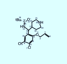 C=CCOc1cc(Cl)c(Cl)cc1C(N[S@@+]([O-])C(C)(C)C)C1CCNCC1